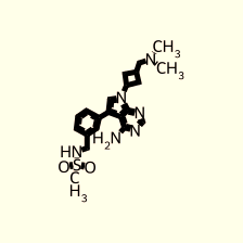 CN(C)CC1CC(n2cc(-c3cccc(CNS(C)(=O)=O)c3)c3c(N)ncnc32)C1